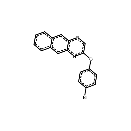 Brc1ccc(Oc2cnc3cc4ccccc4cc3n2)cc1